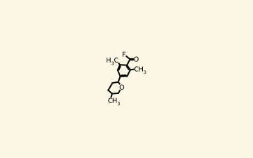 Cc1cc(C2CCC(C)CO2)cc(C)c1C(=O)F